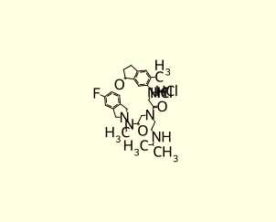 Cc1cc2c(cc1NCC(=O)N(CCNC(C)C)CC(=O)N(C)N1Cc3ccc(F)cc3C1)C(=O)CC2.Cl.Cl